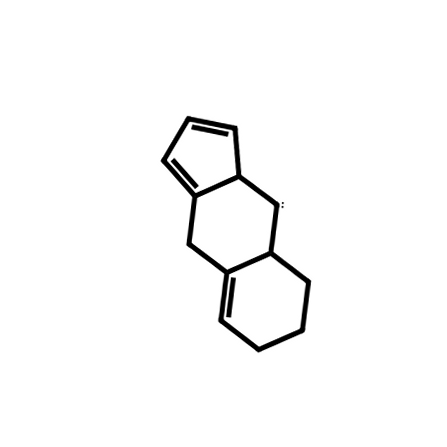 [C]1C2C=CC=C2CC2=CCCCC12